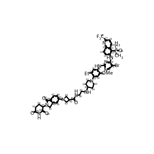 CCc1cc(Nc2ncc(Br)c(Nc3ccc4nc(C(F)(F)F)ccc4c3P(C)(C)=O)n2)c(OC)cc1N1CCC(NCCNC(=O)C2CN(c3ccc4c(c3)CN(C3CCC(=O)NC3=O)C4=O)C2)CC1